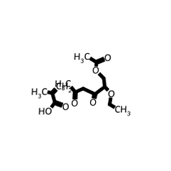 C=C(C)C(=O)O.CCOC(COC(C)=O)C(=O)CC(C)=O